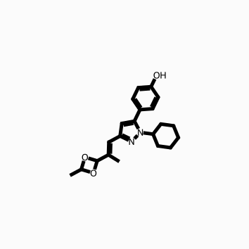 C/C(=C\c1cc(-c2ccc(O)cc2)n(C2CCCCC2)n1)C1OC(C)O1